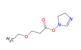 CCOCCC(=O)ON1C=NCC1